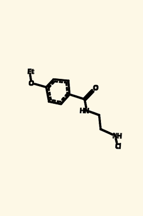 CCOc1ccc(C(=O)NCCNCl)cc1